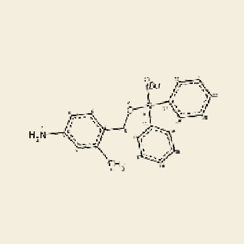 [CH2]c1cc(N)ccc1CO[Si](c1ccccc1)(c1ccccc1)C(C)(C)C